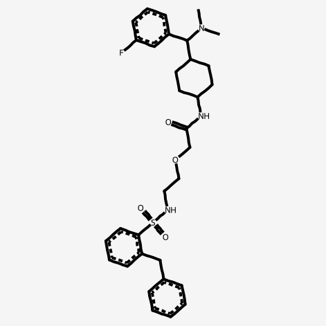 CN(C)C(c1cccc(F)c1)C1CCC(NC(=O)COCCNS(=O)(=O)c2ccccc2Cc2ccccc2)CC1